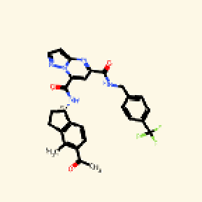 CC(=O)c1ccc2c(c1C)CC[C@@H]2NC(=O)c1cc(C(=O)NCc2ccc(C(F)(F)F)cc2)nc2ccnn12